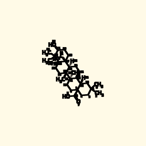 CC1(C)CC[C@]2(C(=O)O)CC[C@]3(C)C(=CC[C@@H]4[C@@]5(C)CC[C@H](O)C(C)(C)C5(I)CC[C@]43C)[C@@H]2C1